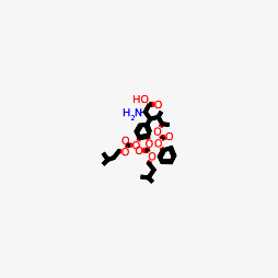 CC(C)CCOC(=O)Oc1ccc(C(C(C)C(C)OC(=O)Oc2ccccc2)[C@H](N)C(=O)O)cc1OC(=O)OCCC(C)C